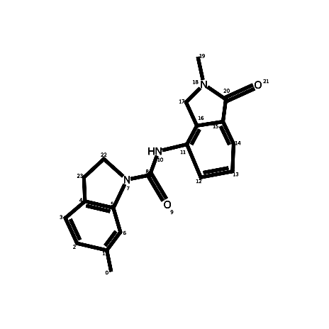 Cc1ccc2c(c1)N(C(=O)Nc1cccc3c1CN(C)C3=O)CC2